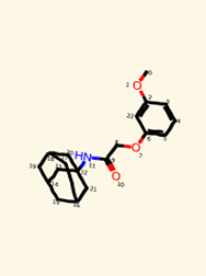 COc1cccc(OCC(=O)NC23CC4CC(CC(C4)C2)C3)c1